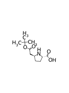 CC(C)(C)OC(=O)C[C@@H]1CC[C@@H](C(=O)O)N1